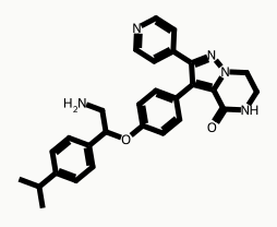 CC(C)c1ccc(C(CN)Oc2ccc(-c3c(-c4ccncc4)nn4c3C(=O)NCC4)cc2)cc1